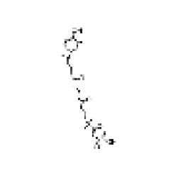 CC(C)(CCCC(=O)CCCC(=O)CCCC(C)(C)c1cc(=O)c(O)co1)c1cc(=O)c(O)co1